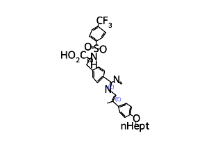 C=N/C(=N\C=C(/C)c1ccc(OCCCCCCC)cc1)c1ccc(C[C@H](NS(=O)(=O)c2ccc(C(F)(F)F)cc2)C(=O)O)cc1